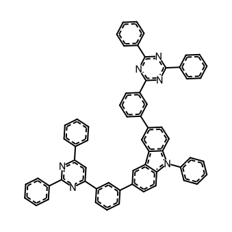 c1ccc(-c2cc(-c3cccc(-c4ccc5c(c4)c4cc(-c6cccc(-c7nc(-c8ccccc8)nc(-c8ccccc8)n7)c6)ccc4n5-c4ccccc4)c3)nc(-c3ccccc3)n2)cc1